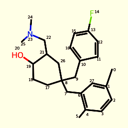 Cc1ccc(C)c(CC2(Cc3ccc(F)cc3)CCC(O)C(CN(C)C)C2)c1